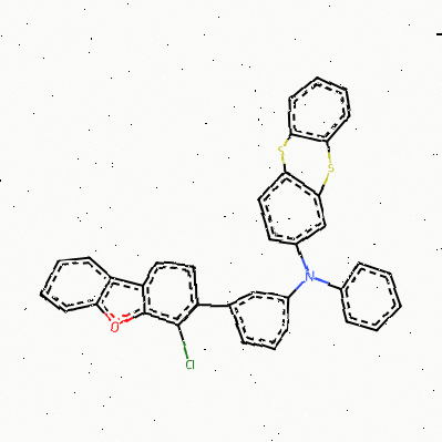 Clc1c(-c2cccc(N(c3ccccc3)c3ccc4c(c3)Sc3ccccc3S4)c2)ccc2c1oc1ccccc12